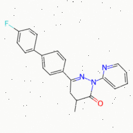 CC1CC(c2ccc(-c3ccc(F)cc3)cc2)=NN(c2ccccn2)C1=O